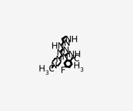 C[C@H](Nc1nc(Nc2cc[nH]n2)nc(N2CCN(C)CC2)n1)c1ccc(F)cc1